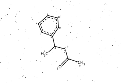 CC(=O)SC(C)c1ccccc1